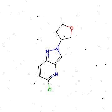 Clc1ccc2nn(C3CCOC3)cc2n1